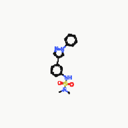 CN(C)S(=O)(=O)Nc1cccc(-c2cnn(-c3ccccc3)c2)c1